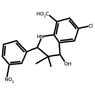 CC1(C)C(O)c2cc(Cl)cc(C(=O)O)c2NC1c1cccc([N+](=O)[O-])c1